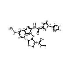 C=CC(=O)N1CCCC1Cn1c(NC(=O)c2ccc(-n3cccn3)s2)nc2cc(CO)ccc21